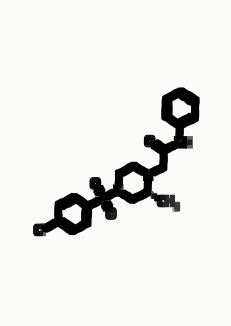 C[C@@H]1CN(S(=O)(=O)c2ccc(Cl)cc2)CCN1CC(=O)Nc1ccccc1